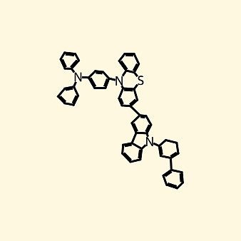 C1=C(c2ccccc2)C=C(n2c3ccccc3c3cc(-c4ccc5c(c4)Sc4ccccc4N5c4ccc(N(c5ccccc5)c5ccccc5)cc4)ccc32)CC1